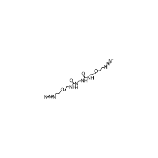 [N-]=[N+]=NCCOCCNC(=O)NCNC(=O)NCCOCCN=[N+]=[N-]